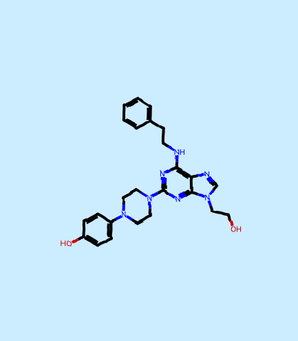 OCCn1cnc2c(NCCc3ccccc3)nc(N3CCN(c4ccc(O)cc4)CC3)nc21